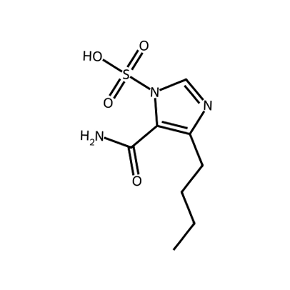 CCCCc1ncn(S(=O)(=O)O)c1C(N)=O